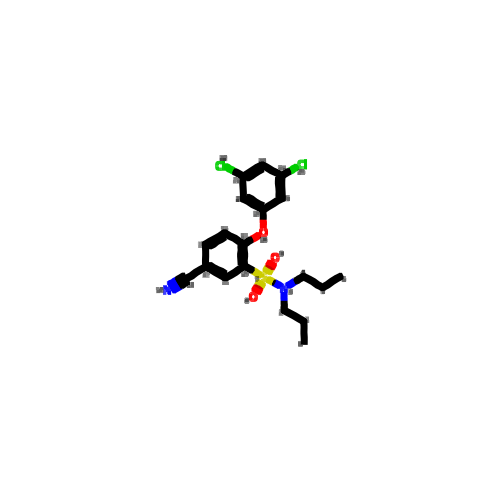 CCCN(CCC)S(=O)(=O)c1cc(C#N)ccc1Oc1cc(Cl)cc(Cl)c1